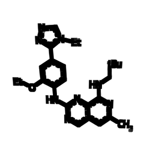 CCOc1cc(-c2nncn2CC)ccc1Nc1ncc2cc(C)nc(NCC(C)(C)C)c2n1